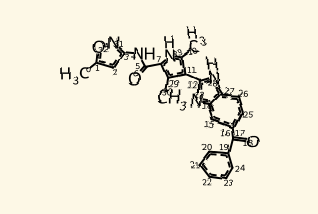 Cc1cc(NC(=O)c2[nH]c(C)c(-c3nc4cc(C(=O)c5ccccc5)ccc4[nH]3)c2C)no1